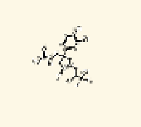 O=CCC(CNCC(=O)C(F)(F)Cl)(CNC(=O)O)c1ccc(Cl)c(Cl)c1